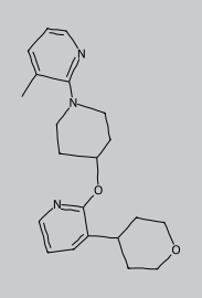 Cc1cccnc1N1CCC(Oc2ncccc2C2CCOCC2)CC1